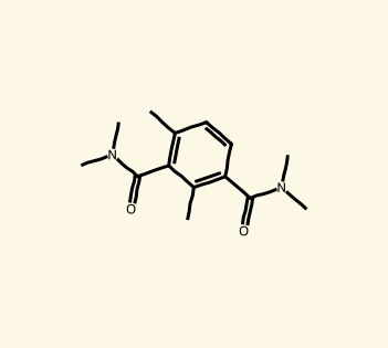 Cc1ccc(C(=O)N(C)C)c(C)c1C(=O)N(C)C